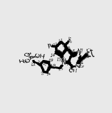 CCc1nc(O)c2c(n1)c1c(F)cc(F)cc1n2Cc1ccc(CP(=O)(O)O)cc1